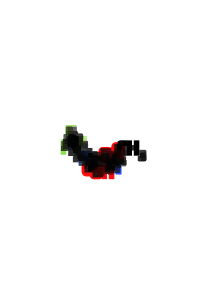 COc1ccc2ncc(F)c([C@@H](O)CCC3(CC(=O)O)CCN(CCCc4c(F)cc(F)cc4F)CC3)c2c1